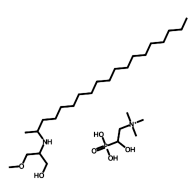 CCCCCCCCCCCCCCCCCC(C)NC(CO)COC.C[N+](C)(C)CC(O)P(=O)(O)O